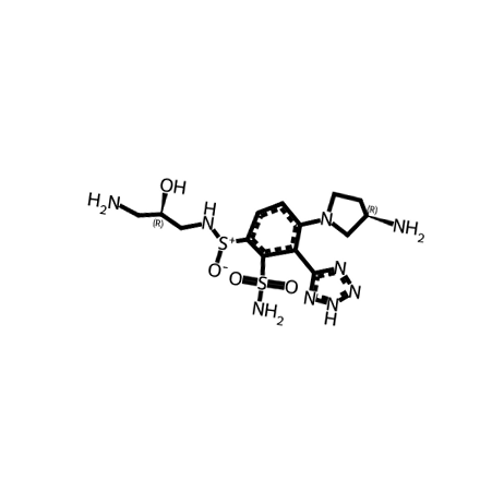 NC[C@@H](O)CN[S+]([O-])c1ccc(N2CC[C@@H](N)C2)c(-c2nn[nH]n2)c1S(N)(=O)=O